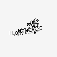 CSc1ncc2c(n1)CN(C1CC[C@H](c3cc(F)c(F)cc3F)[C@@H](N(Cc3ccccc3)C(=O)O)C1)C2